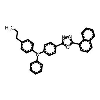 CCCc1ccc(N(c2ccccc2)c2ccc(-c3nnc(-c4cccc5ccccc45)o3)cc2)cc1